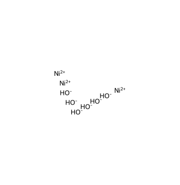 [Ni+2].[Ni+2].[Ni+2].[OH-].[OH-].[OH-].[OH-].[OH-].[OH-]